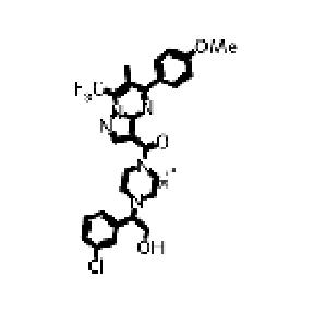 COc1ccc(-c2nc3c(C(=O)N4CCN(C(CO)c5cccc(Cl)c5)C[C@H]4C)cnn3c(C(F)(F)F)c2C)cc1